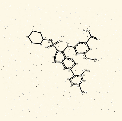 COC(=O)c1cc(Nc2c(S(=O)(=O)NC3CCCCC3)cnc3cc(-c4cnc(OC)nc4OC)ccc23)cc(OC(C)C)c1